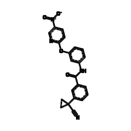 N#CC1(c2cccc(C(=O)Nc3cccc(Oc4ccc([N+](=O)[O-])cn4)c3)c2)CC1